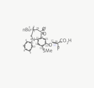 CCCC[C@@]1(C)CN(c2ccccc2)c2cc(SC)c(O/C=C(\F)C(=O)O)cc2S(=O)(=O)C1